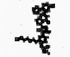 CCOCCOCCc1cc(-c2[nH]c([C@@H]3CCc4cc(-c5cc(Cl)ccc5-n5cnnn5)cc(=O)n43)nc2F)cnc1OC(N)=O